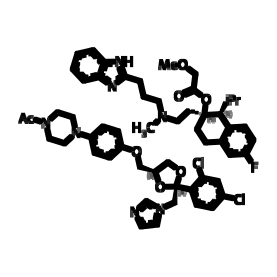 CC(=O)N1CCN(c2ccc(OC[C@H]3CO[C@](Cn4ccnc4)(c4ccc(Cl)cc4Cl)O3)cc2)CC1.COCC(=O)O[C@]1(CCN(C)CCCc2nc3ccccc3[nH]2)CCc2cc(F)ccc2[C@@H]1C(C)C